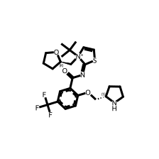 CC(C)(C)[N+]1(C[C@H]2CCCO2)C=CSC1=NC(=O)c1cc(C(F)(F)F)ccc1OC[C@@H]1CCCN1